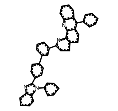 c1ccc(-c2c3ccccc3nc3c2ccc2ccc(-c4cccc(-c5ccc(-c6nc7ccccc7n6-c6ccccc6)cc5)c4)nc23)cc1